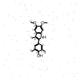 COc1cc2[nH]c(-c3cc(C)c(O)c(C)c3)c(C)c2cc1OC